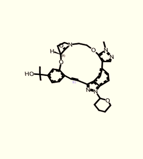 Cn1ncc2c1OCCN1CC[C@@H](Oc3cc(C(C)(C)O)ccc3/C=C/c3nn(C4CCCCO4)c4ccc-2cc34)C1=O